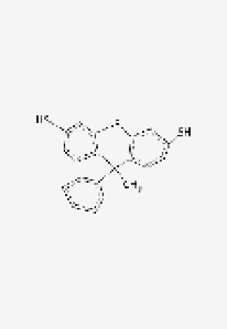 CC1(c2ccccc2)c2ccc(S)cc2Sc2cc(S)ccc21